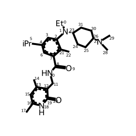 CCN(c1cc(C(C)C)cc(C(=O)NCc2c(C)cc(C)[nH]c2=O)c1C)[C@H]1CC[C@H](N(C)C)CC1